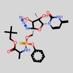 C=C1C=CN([C@@H]2O[C@@](COP(=S)(NC(C)C(=O)OCC(C)(C)C)Oc3ccccc3)(N=[N+]=[N-])[C@@H](O)[C@@]2(C)O)C(=O)N1